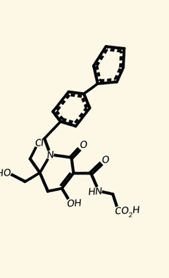 O=C(O)CNC(=O)C1=C(O)CC(CO)(CCl)N(Cc2ccc(-c3ccccc3)cc2)C1=O